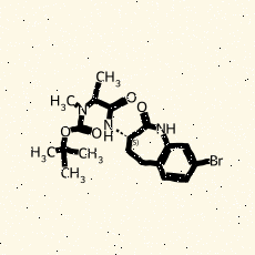 CC(C(=O)N[C@H]1CCc2ccc(Br)cc2NC1=O)N(C)C(=O)OC(C)(C)C